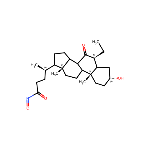 CC[C@@H]1C(=O)C2C3CCC([C@H](C)CCC(=O)N=O)[C@@]3(C)CCC2[C@@]2(C)CC[C@@H](O)CC12